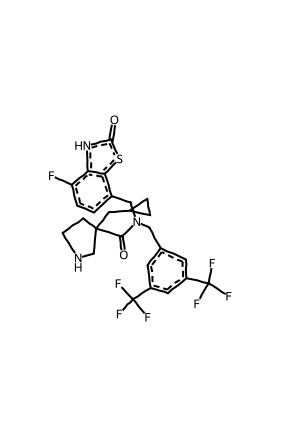 O=C(N(Cc1cc(C(F)(F)F)cc(C(F)(F)F)c1)Cc1ccc(F)c2[nH]c(=O)sc12)C1(CC2CC2)CCNC1